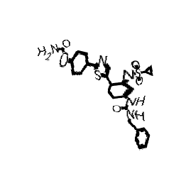 NC(=O)OC1CCC(c2ncc(C3C=CC(NC(=O)NCc4ccccc4)=CC3=NS(=O)(=O)C3CC3)s2)CC1